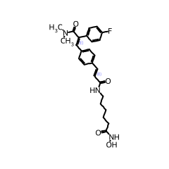 CN(C)C(=O)/C(=C/c1ccc(/C=C/C(=O)NCCCCCC(=O)NO)cc1)c1ccc(F)cc1